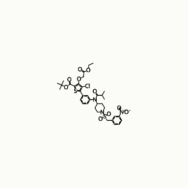 CCOC(=O)COc1c(C(=O)OC(C)(C)C)sc(-c2cccc(N(C(=O)C(C)C)C3CCN(S(=O)(=O)Cc4cccc([N+](=O)[O-])c4)CC3)c2)c1Cl